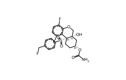 NC(=O)O[C@@H]1CC[C@@]2(S(=O)(=O)c3ccc(CF)cc3)c3c(F)ccc(F)c3OC[C@@]2(O)C1